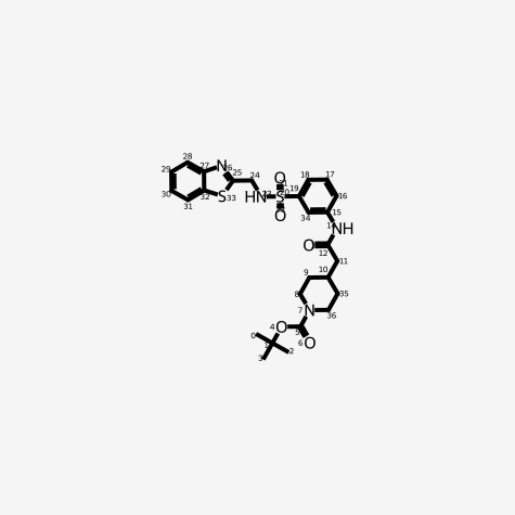 CC(C)(C)OC(=O)N1CCC(CC(=O)Nc2cccc(S(=O)(=O)NCc3nc4ccccc4s3)c2)CC1